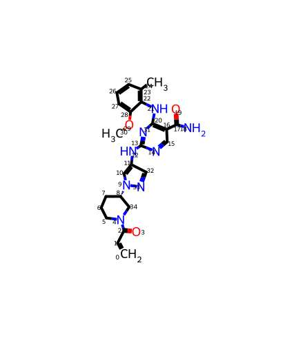 C=CC(=O)N1CCC[C@H](n2cc(Nc3ncc(C(N)=O)c(Nc4c(C)cccc4OC)n3)cn2)C1